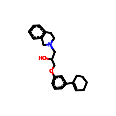 OC(COc1cccc(C2=CCCCC2)c1)CN1CCc2ccccc2C1